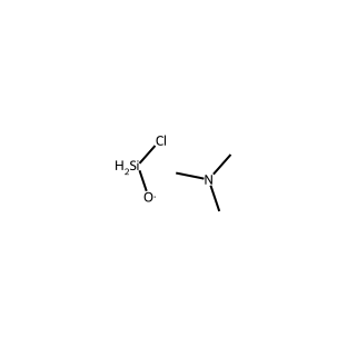 CN(C)C.[O][SiH2]Cl